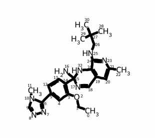 CCOc1cc(-c2nncn2C)ccc1C1(N)N=Cc2cc(C)nc(NCC(C)(C)C)c2N1